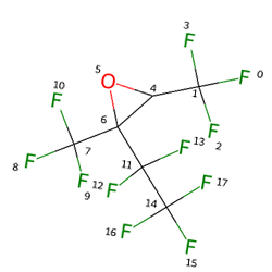 FC(F)(F)C1OC1(C(F)(F)F)C(F)(F)C(F)(F)F